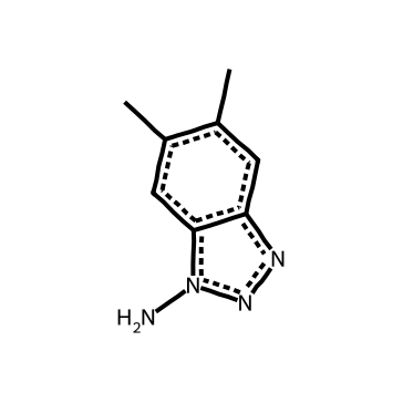 Cc1cc2nnn(N)c2cc1C